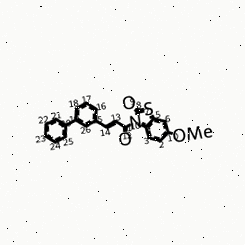 COc1ccc2c(c1)sc(=O)n2C(=O)C=Cc1cccc(-c2ccccc2)c1